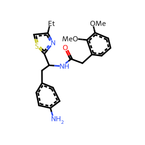 CCc1csc(C(Cc2ccc(N)cc2)NC(=O)Cc2cccc(OC)c2OC)n1